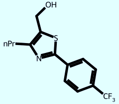 CCCc1nc(-c2ccc(C(F)(F)F)cc2)sc1CO